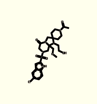 COCC12CN(S(=O)(=O)c3cc4cc(Cl)ccc4[nH]3)CC(=O)N1CC1(CCN(C(C)=O)CC1)N2CCO